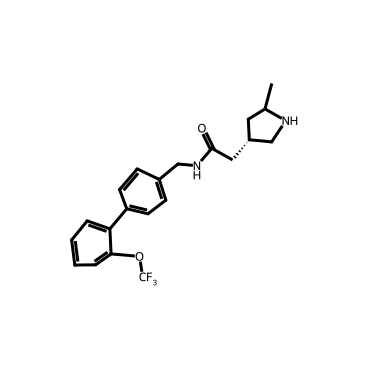 CC1C[C@@H](CC(=O)NCc2ccc(-c3ccccc3OC(F)(F)F)cc2)CN1